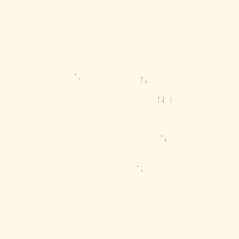 N#Cc1cc2c(cn1)[nH]c1ncc(C3CCNCC3)cc12